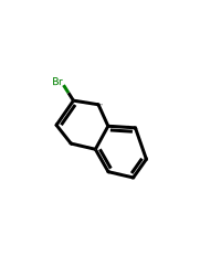 BrC1=CCc2ccccc2[CH]1